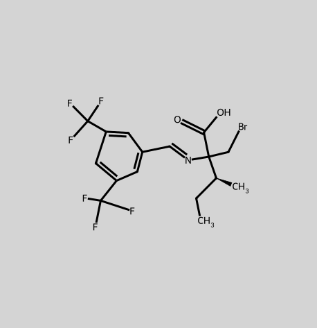 CC[C@H](C)C(CBr)(/N=C/c1cc(C(F)(F)F)cc(C(F)(F)F)c1)C(=O)O